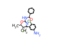 CC1OC(NC(=O)c2ccccc2)=N[C@@](CF)(c2cc(N)ccc2Cl)[C@@H]1C